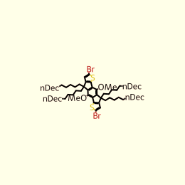 CCCCCCCCCCCCCCCC1(CCCCCCCCCCCCCCC)c2cc(Br)sc2-c2c(OC)c3c(c(OC)c21)-c1sc(Br)cc1C3(CCCCCCCCCCCCCCC)CCCCCCCCCCCCCCC